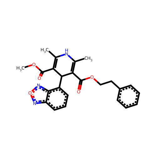 COC(=O)C1=C(C)NC(C)=C(C(=O)OCCc2ccccc2)C1c1cccc2nonc12